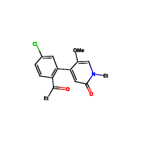 CCC(=O)c1ccc(Cl)cc1-c1cc(=O)n(CC)cc1OC